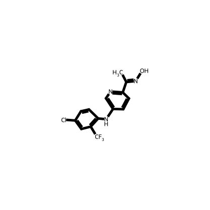 C/C(=N\O)c1ccc(Nc2ccc(Cl)cc2C(F)(F)F)cn1